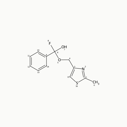 Cc1nc(COC(O)(F)c2ccccc2)cs1